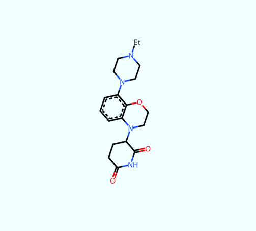 CCN1CCN(c2cccc3c2OCCN3C2CCC(=O)NC2=O)CC1